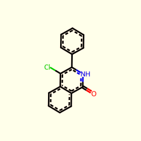 O=c1[nH]c(-c2ccccc2)c(Cl)c2ccccc12